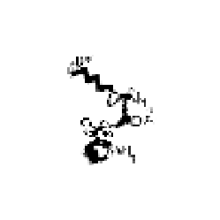 CCCCCCCCCCCCCCCCOC(C)C(COP(=O)([O-])OC1C[N+]2(C)C=C1C=CC2)OC(C)=O